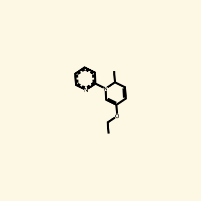 CCOC1=CN(c2ccccn2)C(C)C=C1